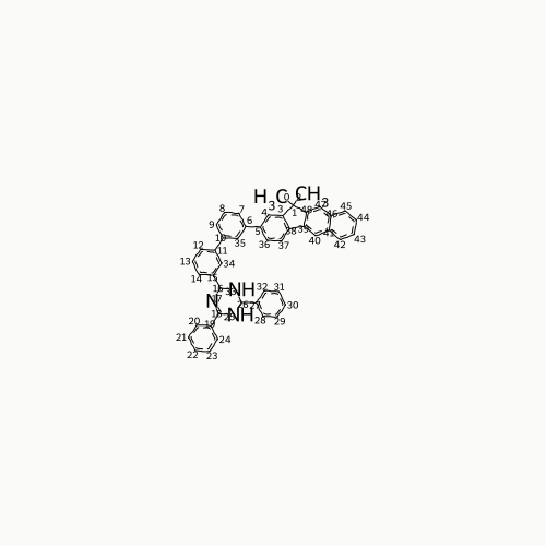 CC1(C)c2cc(-c3cccc(-c4cccc(C5N=C(c6ccccc6)NC(c6ccccc6)N5)c4)c3)ccc2-c2cc3ccccc3cc21